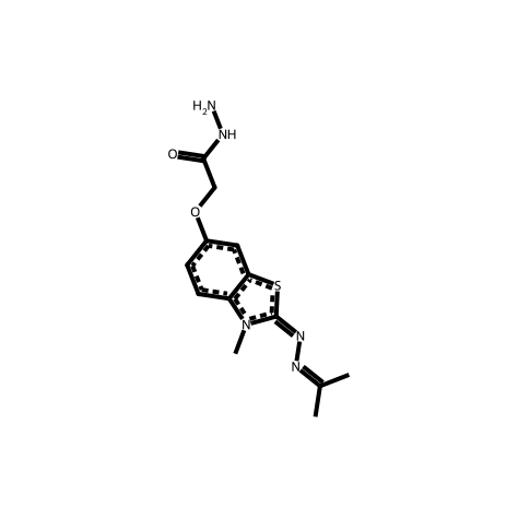 CC(C)=N/N=c1/sc2cc(OCC(=O)NN)ccc2n1C